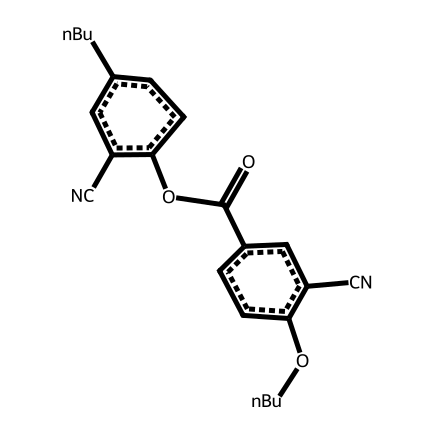 CCCCOc1ccc(C(=O)Oc2ccc(CCCC)cc2C#N)cc1C#N